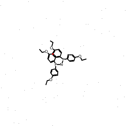 CCOc1ccc(P([N]P(c2ccc(OCC)cc2)c2ccc(OCC)cc2)c2ccc(OCC)cc2)cc1